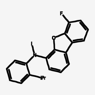 CC(C)c1ccccc1N(I)c1cccc2c1oc1c(F)cccc12